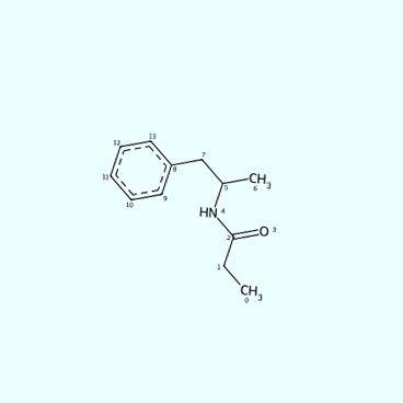 CCC(=O)NC(C)Cc1ccccc1